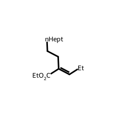 CCC=C(CCCCCCCCC)C(=O)OCC